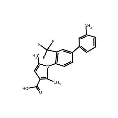 Cc1cc(C(=O)O)c(C)n1-c1ccc(-c2cccc(N)c2)cc1C(F)(F)F